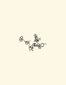 C=C1C(C)C[C@H](CC[C@@H]2O[C@@H](CCC3OCCCO3)CC2C)O[C@@H]1C[C@@H]1O[C@H](C[C@@H](CO[Si](C)(C)C(C)(C)C)O[Si](C)(C)C(C)(C)C)C[C@H]1CS(=O)(=O)c1ccc(CC)cc1